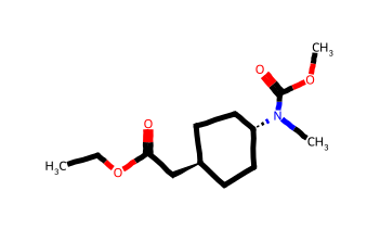 CCOC(=O)C[C@H]1CC[C@H](N(C)C(=O)OC)CC1